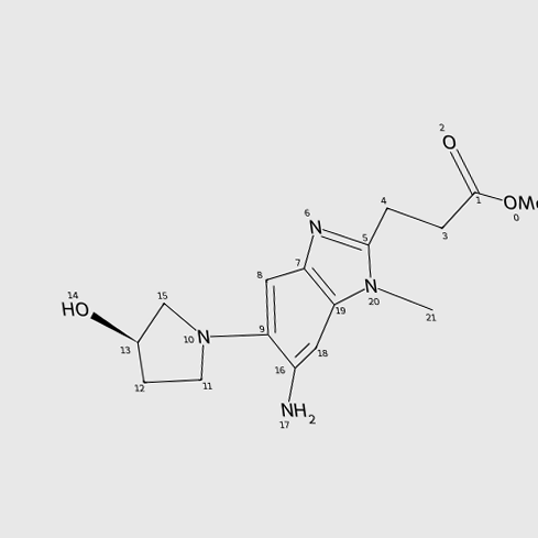 COC(=O)CCc1nc2cc(N3CC[C@@H](O)C3)c(N)cc2n1C